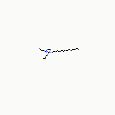 CCCCCCCCCCCCCCCN1C=CN(CCCC)C1CCCC